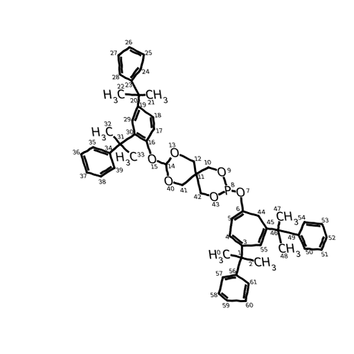 CC(C)(C1=CC=C(OP2OCC3(COC(Oc4ccc(C(C)(C)c5ccccc5)cc4C(C)(C)c4ccccc4)OC3)CO2)CC(C(C)(C)c2ccccc2)=C1)c1ccccc1